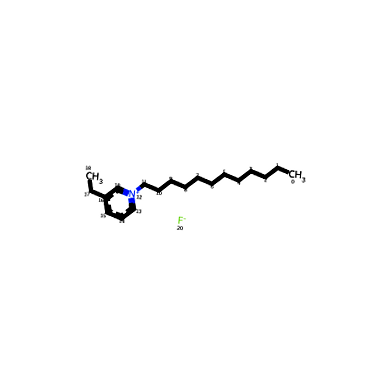 CCCCCCCCCCCC[n+]1cccc(CC)c1.[F-]